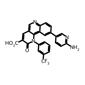 Nc1ccc(-c2ccc3ncc4cc(C(=O)O)c(=O)n(-c5cccc(C(F)(F)F)c5)c4c3c2)cn1